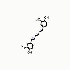 COc1cc(/C=C/C=C/C=C/c2ccc(O)c(OC)c2)ccc1O